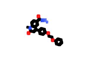 Cn1c(=O)cc(-c2ccc(OCCOc3ccccc3)cc2)c2cc(C(N)=O)ccc21